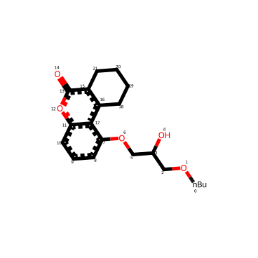 CCCCOCC(O)COc1cccc2oc(=O)c3c(c12)CCCC3